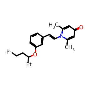 CCC(CCC(C)C)Oc1cccc(/C=C/n2c(C)cc(=O)cc2C)c1